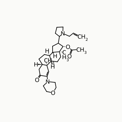 C=CCN1CCCC1C1C[C@H]2[C@@H]3CC[C@H]4CC(=O)C(N5CCOCC5)=C[C@]4(C)[C@H]3CC[C@]2(C)[C@H]1OC(C)=O